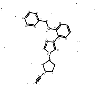 N#CN1CCC(n2cnc(-c3ccccc3OCc3ccccc3)c2)C1